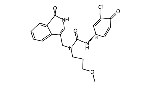 COCCCN(Cc1c[nH]c(=O)c2ccccc12)C(=O)N[C@@H]1C=CC(=O)C(Cl)=C1